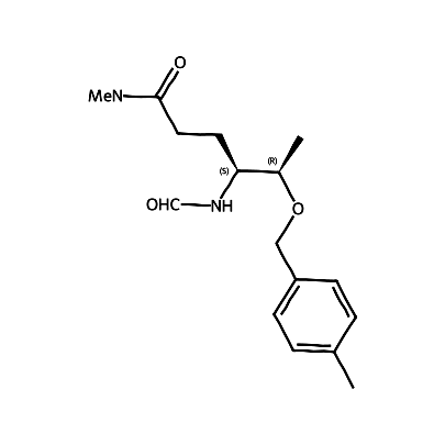 CNC(=O)CC[C@H](NC=O)[C@@H](C)OCc1ccc(C)cc1